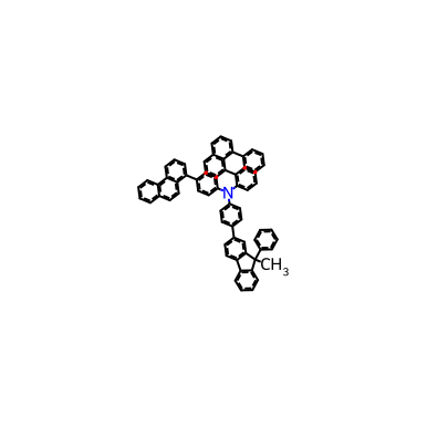 CC1(c2ccccc2)c2ccccc2-c2ccc(-c3ccc(N(c4ccc(-c5cccc6c5ccc5ccccc56)cc4)c4ccccc4-c4cccc5cccc(-c6ccccc6)c45)cc3)cc21